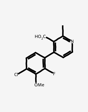 COc1c(Cl)ccc(-c2ccnc(C)c2C(=O)O)c1F